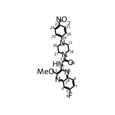 COc1nc2cc(F)ccc2nc1NC(=O)N1CCN(c2ccc([N+](=O)[O-])cc2)CC1